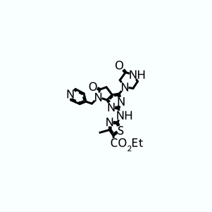 CCOC(=O)c1sc(Nc2nc(N3CCNC(=O)C3)c3c(n2)N(Cc2ccncc2)C(=O)C3)nc1C